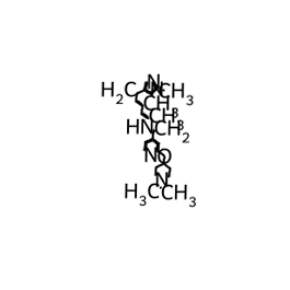 C=C(/C=C(C)/C=C(\C)NC(=C)c1ccnc(OC2CCN(C(C)C)CC2)c1)c1cnn(C)c1